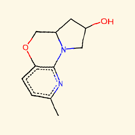 Cc1ccc2c(n1)N1CC(O)CC1CO2